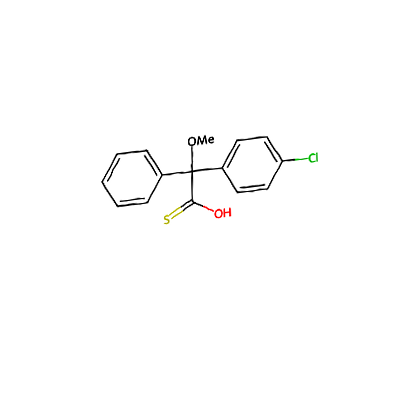 COC(C(O)=S)(c1ccccc1)c1ccc(Cl)cc1